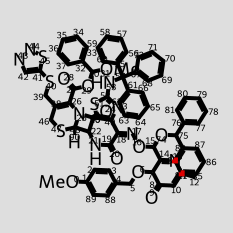 COc1ccc(COC2C(=O)C=C(C)N=C2C(O/N=C(\C(=O)NC2C(=O)N3C(C(=O)OC(OC)c4ccccc4)=C(CSc4cnns4)CS[C@@H]23)c2csc(NC(c3ccccc3)(c3ccccc3)c3ccccc3)n2)OC(c2ccccc2)c2ccccc2)cc1